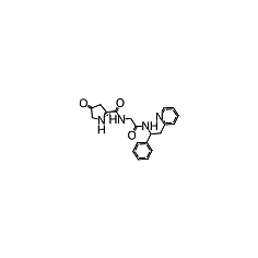 O=C1CN[C@H](C(=O)NCC(=O)NC(Cc2ccccn2)c2ccccc2)C1